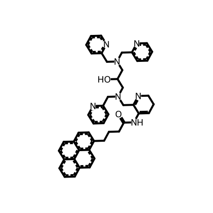 O=C(CCCc1ccc2ccc3cccc4ccc1c2c34)NC1=CCCN=C1CN(Cc1ccccn1)CC(O)CN(Cc1ccccn1)Cc1ccccn1